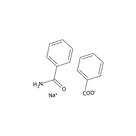 NC(=O)c1ccccc1.O=C([O-])c1ccccc1.[Na+]